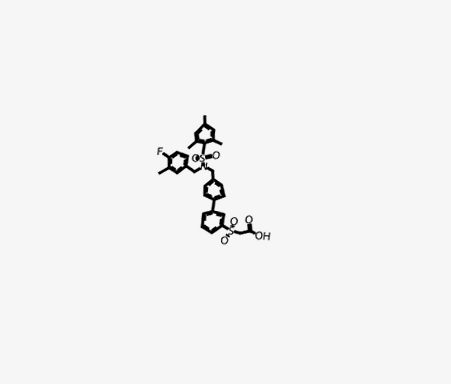 Cc1cc(C)c(S(=O)(=O)N(Cc2ccc(-c3cccc(S(=O)(=O)CC(=O)O)c3)cc2)Cc2ccc(F)c(C)c2)c(C)c1